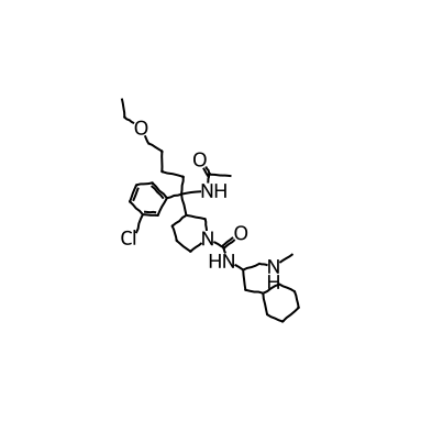 CCOCCCCC(NC(C)=O)(c1cccc(Cl)c1)C1CCCN(C(=O)NC(CNC)CC2CCCCC2)C1